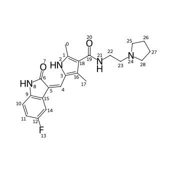 Cc1[nH]c(C=C2C(=O)Nc3ccc(F)cc32)c(C)c1C(=O)NCCN1CCCC1